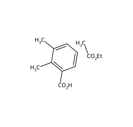 CCOC(C)=O.Cc1cccc(C(=O)O)c1C